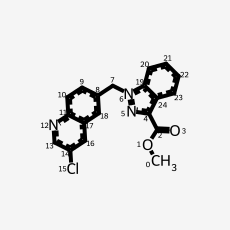 COC(=O)c1nn(Cc2ccc3ncc(Cl)cc3c2)c2ccccc12